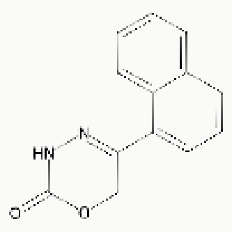 O=C1NN=C(c2cccc3ccccc23)CO1